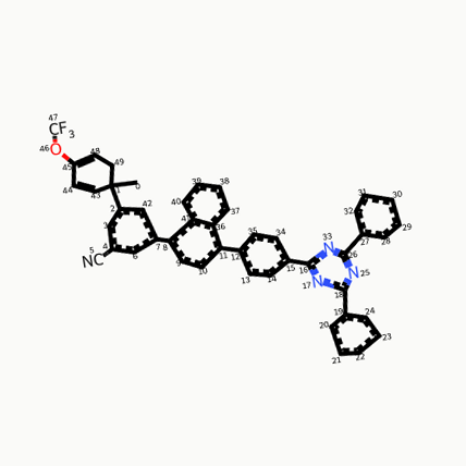 CC1(c2cc(C#N)cc(-c3ccc(-c4ccc(-c5nc(-c6ccccc6)nc(-c6ccccc6)n5)cc4)c4ccccc34)c2)C=CC(OC(F)(F)F)=CC1